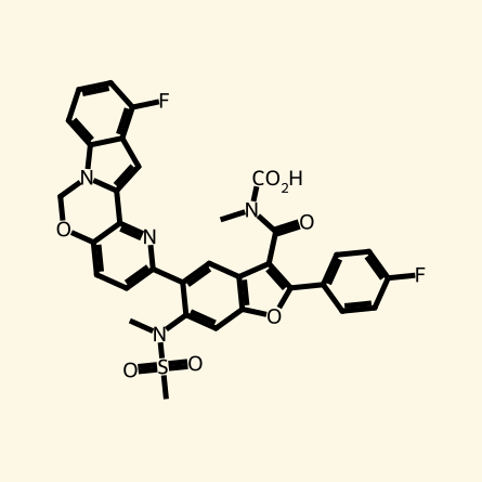 CN(C(=O)O)C(=O)c1c(-c2ccc(F)cc2)oc2cc(N(C)S(C)(=O)=O)c(-c3ccc4c(n3)-c3cc5c(F)cccc5n3CO4)cc12